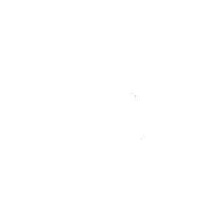 CN(c1ccc(-c2cccc3ccccc23)cc1)c1ccc2c(c1)C(C)(C)c1cc3c(cc1-2)C1C(C2=CC=CCC2)=CC=CC1C3(C)C